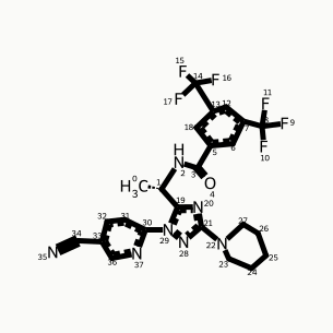 C[C@H](NC(=O)c1cc(C(F)(F)F)cc(C(F)(F)F)c1)c1nc(N2CCCCC2)nn1-c1ccc(C#N)cn1